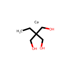 CCC(CO)(CO)CO.[Ca]